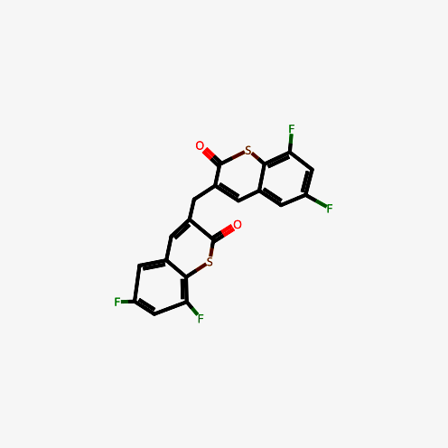 O=c1sc2c(F)cc(F)cc2cc1Cc1cc2cc(F)cc(F)c2sc1=O